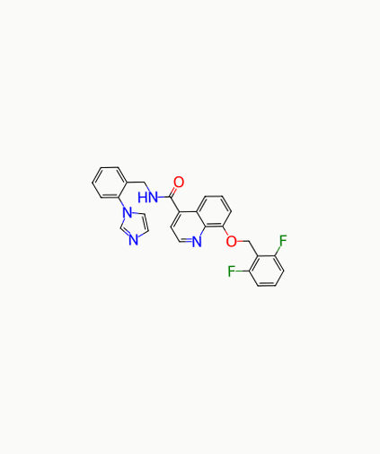 O=C(NCc1ccccc1-n1ccnc1)c1ccnc2c(OCc3c(F)cccc3F)cccc12